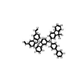 C=Cc1ccc([Si]2(c3ccc(C=C)cc3)c3ccccc3-c3cc(N(c4ccc(-c5ccccc5)cc4)c4ccc5c(c4)C(C)(C)c4ccccc4-5)ccc32)cc1